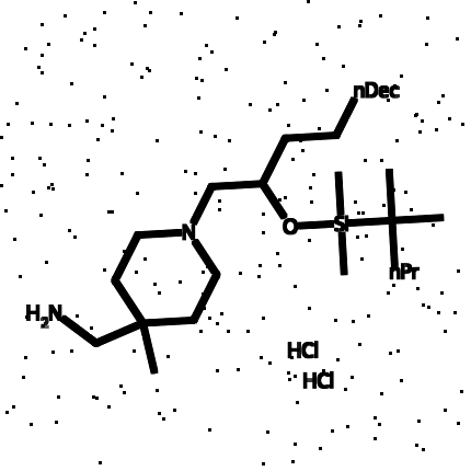 CCCCCCCCCCCCC(CN1CCC(C)(CN)CC1)O[Si](C)(C)C(C)(C)CCC.Cl.Cl